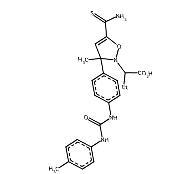 CCC(C(=O)O)N1OC(C(N)=S)=CC1(C)c1ccc(NC(=O)Nc2ccc(C)cc2)cc1